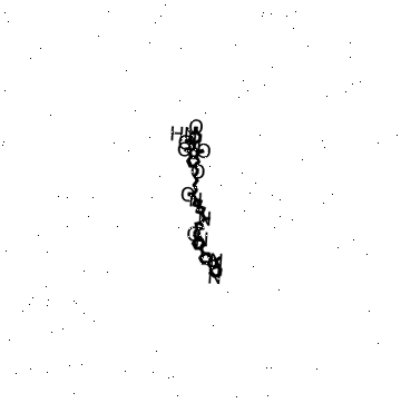 CN(C1CC(Oc2ccc(-c3ccc4c5cnccc5n(C)c4c3)cn2)C1)C1CC2(C1)CN(C(=O)CCCCOc1ccc3c(c1)C(=O)N(C1CCC(=O)NC1=O)C3=O)C2